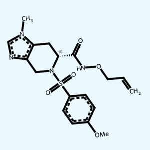 C=CCONC(=O)[C@H]1Cc2c(ncn2C)CN1S(=O)(=O)c1ccc(OC)cc1